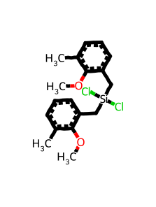 COc1c(C)cccc1C[Si](Cl)(Cl)Cc1cccc(C)c1OC